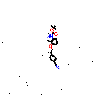 Cc1c(NC(=O)OC(C)(C)C)cccc1OCCc1ccc(C#N)cc1